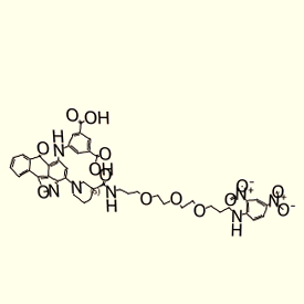 O=C(O)c1cc(Nc2cc(N3CCC[C@H](C(=O)NCCCOCCOCCOCCCNc4ccc([N+](=O)[O-])cc4[N+](=O)[O-])C3)c3noc4c3c2C(=O)c2ccccc2-4)cc(C(=O)O)c1